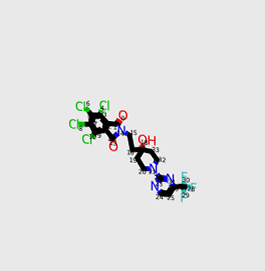 O=C1c2c(Cl)c(Cl)c(Cl)c(Cl)c2C(=O)N1CCC1(O)CCN(c2nccc(C(F)(F)F)n2)CC1